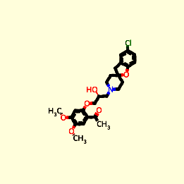 COc1cc(OC[C@H](O)CN2CCC3(CC2)Cc2cc(Cl)ccc2O3)c(C(C)=O)cc1OC